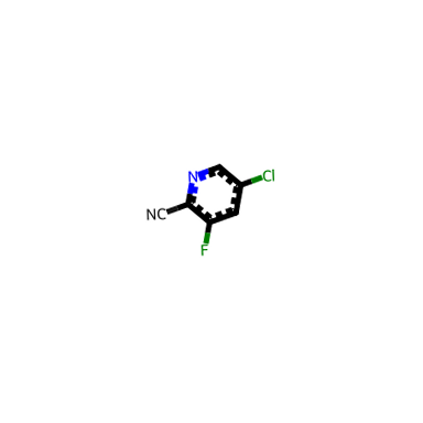 N#Cc1ncc(Cl)cc1F